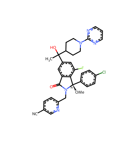 CO[C@]1(c2ccc(Cl)cc2)c2c(F)cc(C(C)(O)C3CCN(c4ncccn4)CC3)cc2C(=O)N1Cc1ccc(C#N)cn1